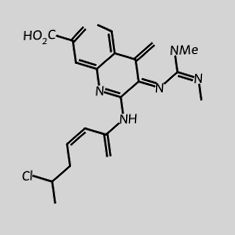 C=C(/C=C\CC(C)Cl)NC1=NC(=C/C(=C)C(=O)O)/C(=C\C)C(=C)/C1=N\C(=N/C)NC